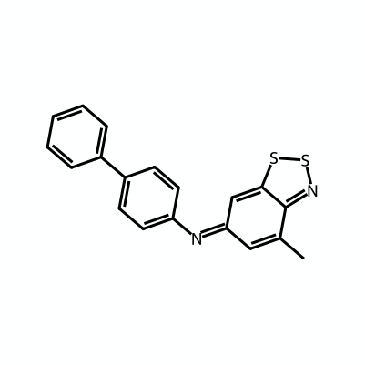 Cc1cc(=Nc2ccc(-c3ccccc3)cc2)cc2ssnc1-2